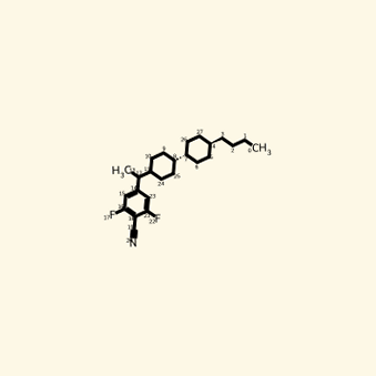 CCCC[C@H]1CC[C@H](C2CCC(C(C)c3cc(F)c(C#N)c(F)c3)CC2)CC1